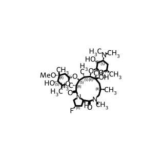 CO[C@]1(C)C[C@H](O[C@H]2[C@H](C)[C@@H](O[C@@H]3O[C@H](C)C[C@H](N(C)C)[C@H]3O)[C@](C)(O)C[C@@H](C)CN(C)C(=O)[C@@H]3C[C@@H](F)CN3C(=O)[C@@H]2C)O[C@@H](C)[C@@H]1O